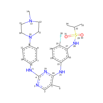 Cc1cnc(Nc2ccc(N3CCN(C)CC3)cc2)nc1Nc1ccc(F)c(NS(=O)(=O)C(C)C)c1